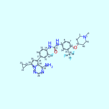 CN1CCC(Oc2ccc(NC(=O)Nc3ccc(-c4cc(C5CC5)n5ncnc(N)c45)cc3F)cc2C(F)(F)F)CC1